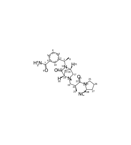 C[C@H](c1cccc(C(N)=O)c1)N1C(=O)[C@@H]2C[C@H]1CN2C[C@H](C)C(=O)N1CCC[C@H]1C#N